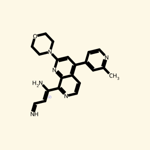 Cc1cc(-c2cc(N3CCOCC3)nc3c(/C(N)=C/C=N)nccc23)ccn1